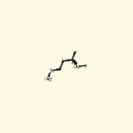 CN=C(C)CCSC(C)=O